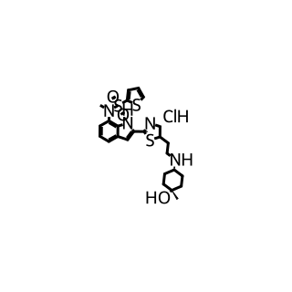 CN(c1cccc2cc(C3=NCC(CCN[C@H]4CC[C@@](C)(O)CC4)S3)[nH]c12)S(=O)(=O)c1cccs1.Cl